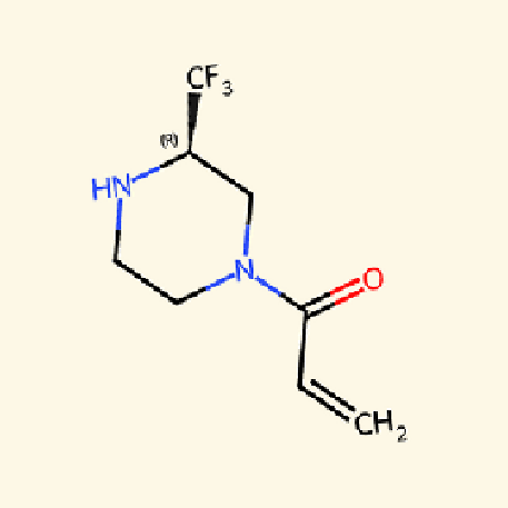 C=CC(=O)N1CCN[C@@H](C(F)(F)F)C1